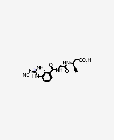 C#CC(CC(=O)O)NC(=O)CNC(=O)c1cccc(N/C(N)=N\C#N)c1